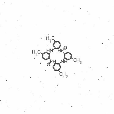 Cc1ccc2c(c1)Nc1cc(C)ccc1[PH](=O)c1ccc(C)cc1Nc1cc(C)ccc1[PH]2=O